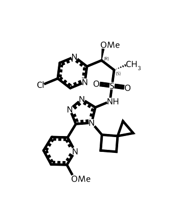 COc1cccc(-c2nnc(NS(=O)(=O)[C@@H](C)[C@H](OC)c3ncc(Cl)cn3)n2C2CCC23CC3)n1